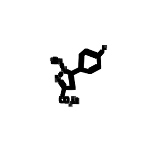 CCOC(=O)c1cc(-c2ccc(F)cc2)n(C(C)(C)C)n1